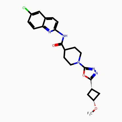 O=C(Nc1ccc2cc(Cl)ccc2n1)C1CCN(c2nnc([C@H]3C[C@@H](OC(F)(F)F)C3)o2)CC1